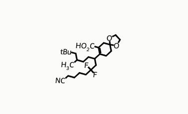 CC(CCC(CC(F)(F)CCCCC#N)C1=C(C(=O)O)CC2(CC1)OCCO2)CC(C)(C)C